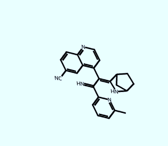 Cc1cccc(C(=N)/C(=C2\NC3CCC2C3)c2ccnc3ccc(C#N)cc23)n1